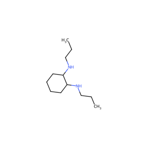 CCCNC1CCCCC1NCCC